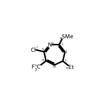 CCC1C=C(SC)N=C(Cl)C(C(F)(F)F)=C1